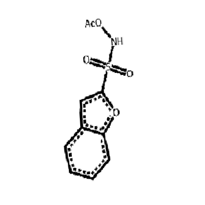 CC(=O)ONS(=O)(=O)c1cc2ccccc2o1